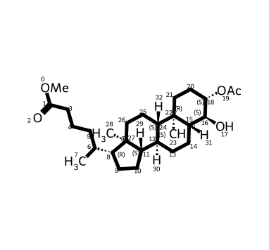 COC(=O)CCCC(C)[C@H]1CC[C@H]2[C@@H]3CC[C@H]4[C@H](O)[C@@H](OC(C)=O)CC[C@]4(C)[C@H]3CC[C@]12C